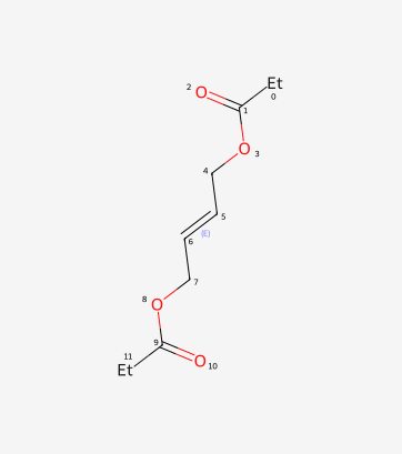 CCC(=O)OC/C=C/COC(=O)CC